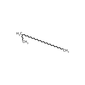 [CH2]C(CCCC)CCCCCCCCCCCCCCCCCCCCCCCCCC